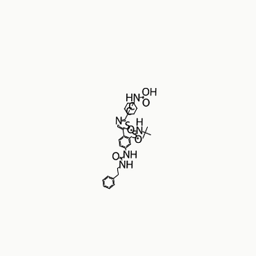 CC(C)(C)NS(=O)(=O)c1cc(NC(=O)NCCc2ccccc2)ccc1-c1cnc(C23CCC(NC(=O)O)(CC2)CC3)s1